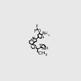 CCC(c1ncc[nH]1)N1CC[C@@]2(CCn3nc(-c4cnc(N)c(OC(F)F)c4)cc32)C1